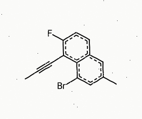 CC#Cc1c(F)ccc2cc(C)cc(Br)c12